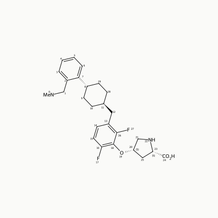 CNCc1ccccc1[C@H]1CC[C@H](Cc2ccc(F)c(O[C@@H]3CN[C@H](C(=O)O)C3)c2F)CC1